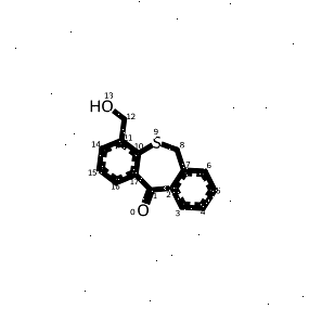 O=C1c2ccccc2CSc2c(CO)cccc21